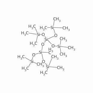 C[Si](C)(C)O[Si](C)(O[Si](C)(C)C)O[Si](O[Si](C)(C)C)(O[Si](C)(C)C)O[Si](C)(C)C